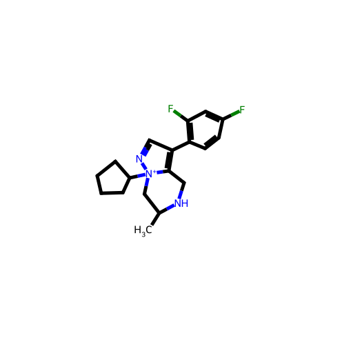 CC1C[N+]2(C3CCCC3)N=CC(c3ccc(F)cc3F)=C2CN1